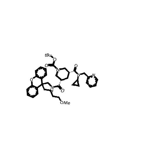 COCCCCC1(CNC(=O)[C@H]2C[C@@H](C(=O)N(Cc3ccccn3)C3CC3)CN(C(=O)OC(C)(C)C)C2)c2ccccc2Oc2ccccc21